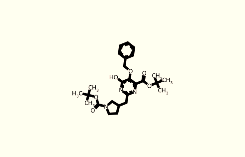 CC(C)(C)OC(=O)c1nc(CC2CCN(C(=O)OC(C)(C)C)C2)nc(O)c1OCc1ccccc1